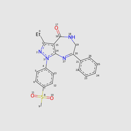 CCc1nn(-c2ccc(S(C)(=O)=O)cc2)c2c1C(=O)NCC(c1ccccc1)=N2